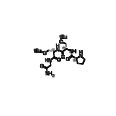 CC(C)(C)OC[C@H](NC(=O)[C@H](COC(C)(C)C)NC(=O)[C@@H]1CCCN1)C(=O)NCC(N)=O